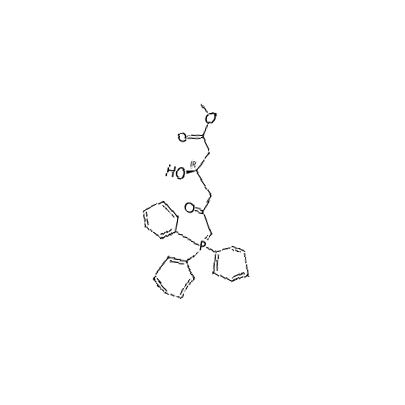 COC(=O)C[C@H](O)CC(=O)C=P(c1ccccc1)(c1ccccc1)c1ccccc1